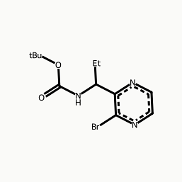 CCC(NC(=O)OC(C)(C)C)c1nccnc1Br